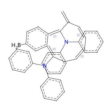 Bc1ccc2/c(c1)=C(/N(c1ccccc1)c1ccccc1)C/C=C\C=C/C(=C)/C=2N(c1ccccc1)c1ccccc1